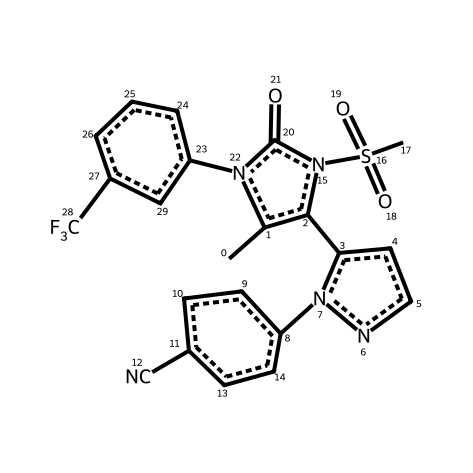 Cc1c(-c2ccnn2-c2ccc(C#N)cc2)n(S(C)(=O)=O)c(=O)n1-c1cccc(C(F)(F)F)c1